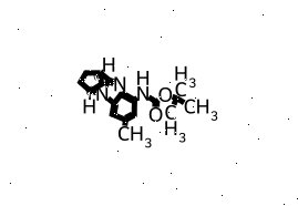 Cc1cc(NC(=O)OC(C)(C)C)c2nc3n(c2c1)[C@H]1CC[C@@H]3C1